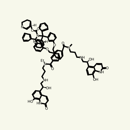 CCN(CCCNC[C@@H](O)c1ccc(O)c2[nH]c(=O)ccc12)C(=O)c1cccc(COc2cccc(C(c3ccccc3)([C@H]3CN4CCC3CC4)N(C(=O)O[C@H]3CN4CCC3CC4)C(c3ccccc3)c3cccc(OCc4cccc(C(=O)N(C)CCCNC[C@@H](O)c5ccc(O)c6[nH]c(=O)ccc56)c4)c3)c2)c1